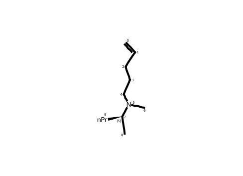 C=CCCCN(C)[C@@H](C)CCC